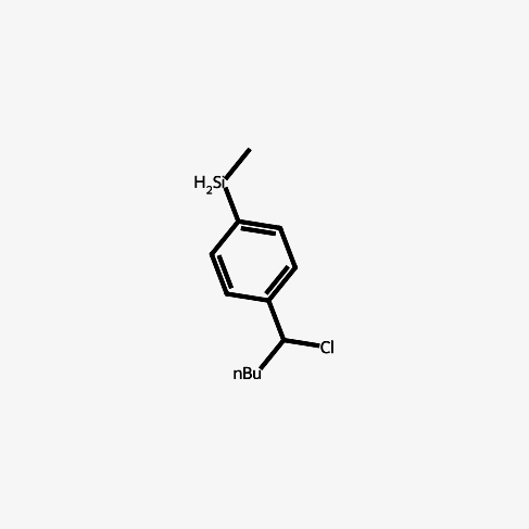 CCCCC(Cl)c1ccc([SiH2]C)cc1